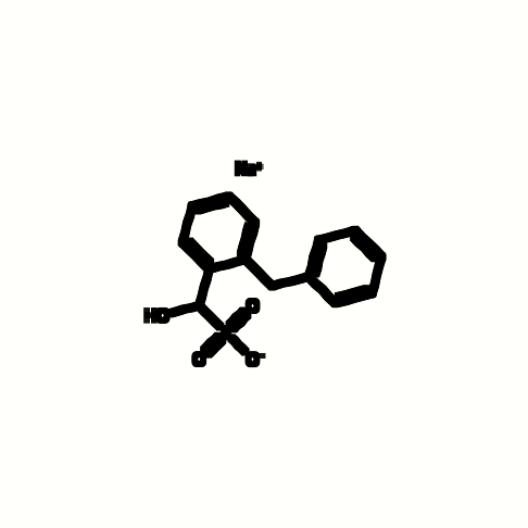 O=S(=O)([O-])C(O)c1ccccc1Cc1ccccc1.[Na+]